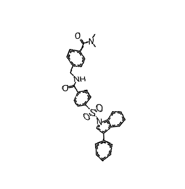 CN(C)C(=O)c1ccc(CNC(=O)c2ccc(S(=O)(=O)n3cc(-c4ccccc4)c4ccccc43)cc2)cc1